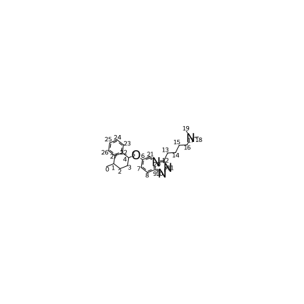 CC1CCC(Oc2ccc3nnc(CCCCN(C)C)n3c2)c2ccccc21